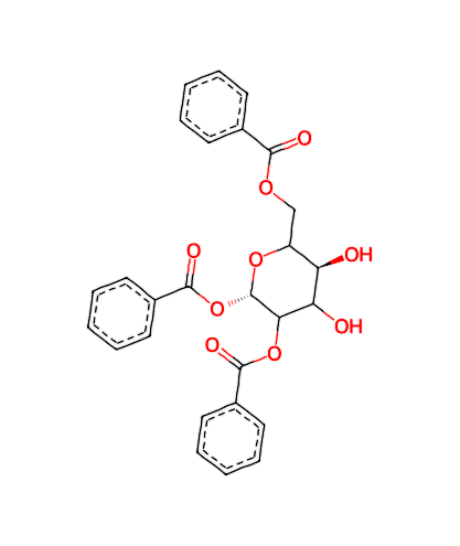 O=C(OCC1O[C@@H](OC(=O)c2ccccc2)C(OC(=O)c2ccccc2)C(O)[C@@H]1O)c1ccccc1